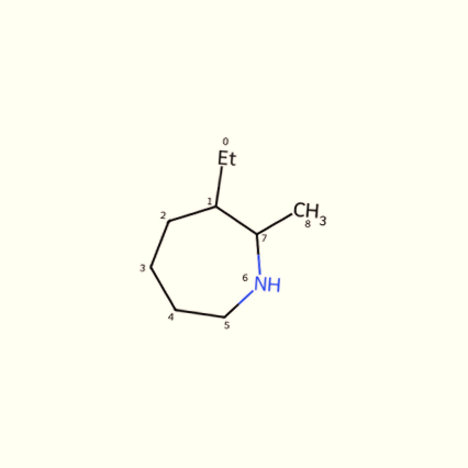 CCC1CCCCNC1C